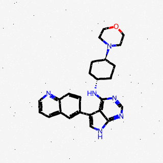 c1cnc2ccc(-c3c[nH]c4ncnc(N[C@H]5CC[C@H](N6CCOCC6)CC5)c34)cc2c1